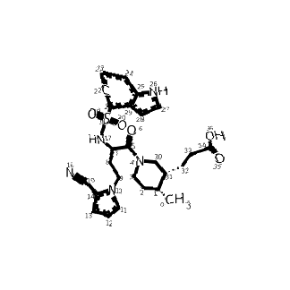 C[C@@H]1CCN(C(=O)C(CCn2cccc2C#N)NS(=O)(=O)c2cccc3[nH]ccc23)C[C@@H]1CCC(=O)O